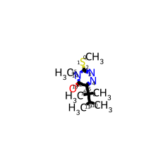 CSc1nnc(C(C)(C)C(C)C)c(=O)n1C